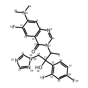 CC(n1cnc2cc(N(C)C)c(F)cc2c1=O)C(O)(Cn1cncn1)c1ccc(F)cc1F